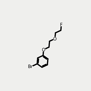 FCCOCCOc1cccc(Br)c1